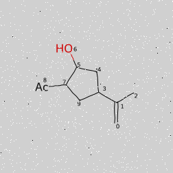 C=C(C)C1[CH]C(O)C(C(C)=O)C1